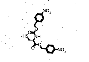 O=C(N[C@H](CS)C(=O)OCc1ccc([N+](=O)[O-])cc1)OCc1ccc([N+](=O)[O-])cc1